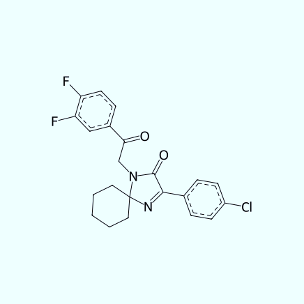 O=C(CN1C(=O)C(c2ccc(Cl)cc2)=NC12CCCCC2)c1ccc(F)c(F)c1